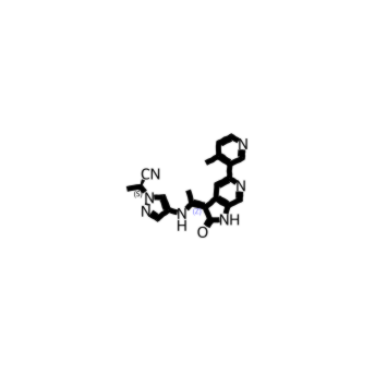 C/C(Nc1cnn([C@@H](C)C#N)c1)=C1/C(=O)Nc2cnc(-c3cnccc3C)cc21